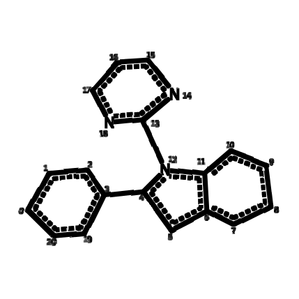 c1ccc(-c2cc3ccccc3n2-c2ncccn2)cc1